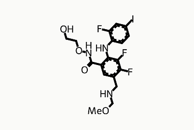 COCNCc1cc(C(=O)NOCCO)c(Nc2ccc(I)cc2F)c(F)c1F